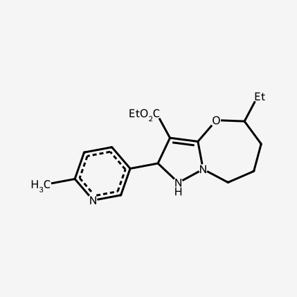 CCOC(=O)C1=C2OC(CC)CCCN2NC1c1ccc(C)nc1